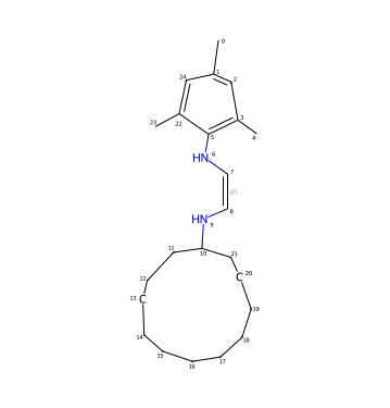 Cc1cc(C)c(N/C=C\NC2CCCCCCCCCCC2)c(C)c1